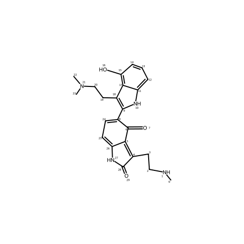 CNCCC1=C2C(=O)C(c3[nH]c4cccc(O)c4c3CCN(C)C)=CC=C2NC1=O